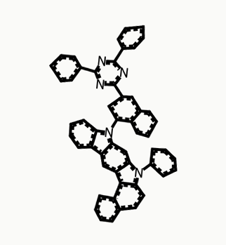 c1ccc(-c2nc(-c3ccccc3)nc(-c3cc(-n4c5ccccc5c5cc6c7c8ccccc8ccc7n(-c7ccccc7)c6cc54)c4ccccc4c3)n2)cc1